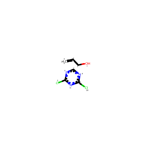 C=CCO.Clc1ncnc(Cl)n1